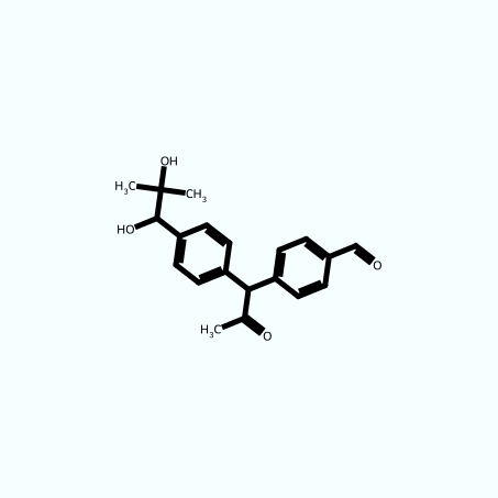 CC(=O)C(c1ccc([C]=O)cc1)c1ccc(C(O)C(C)(C)O)cc1